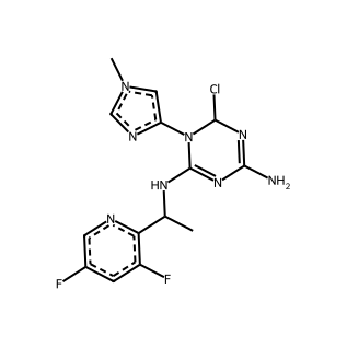 CC(NC1=NC(N)=NC(Cl)N1c1cn(C)cn1)c1ncc(F)cc1F